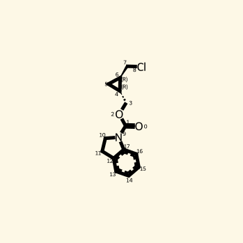 O=C(OC[C@@H]1C[C@H]1CCl)N1CCc2ccccc21